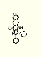 Cc1[nH]c2c(N3CCCCC3)c(-c3ccccc3)nn2c(=O)c1Cc1cccnc1